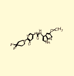 COc1cnc2[nH]cc(NC(=O)Nc3cnc(N4CCC(F)(F)CC4)c(Cl)c3)c2c1